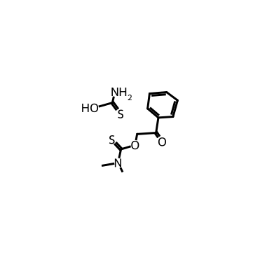 CN(C)C(=S)OCC(=O)c1ccccc1.NC(O)=S